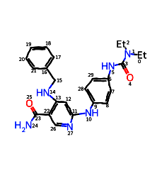 CCN(CC)C(=O)Nc1ccc(Nc2cc(NCc3ccccc3)c(C(N)=O)cn2)cc1